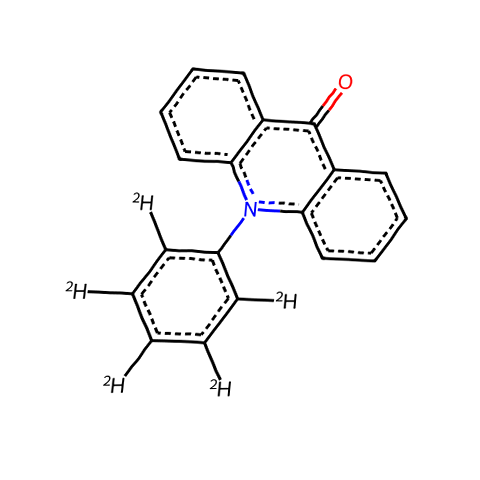 [2H]c1c([2H])c([2H])c(-n2c3ccccc3c(=O)c3ccccc32)c([2H])c1[2H]